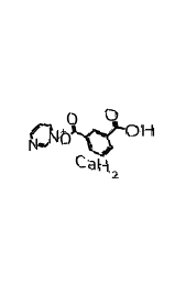 O=C(O)c1cccc(C(=O)O[n+]2cccnc2)c1.[CaH2]